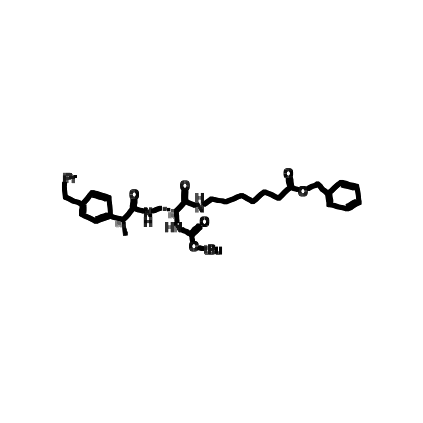 CC(C)Cc1ccc([C@H](C)C(=O)NC[C@@H](NC(=O)OC(C)(C)C)C(=O)NCCCCCCC(=O)OCc2ccccc2)cc1